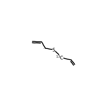 C=C[CH]S[13CH2]C=C